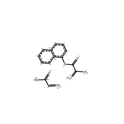 C=C(C)C(=O)Oc1cccc2ccccc12.C=CC(=O)O